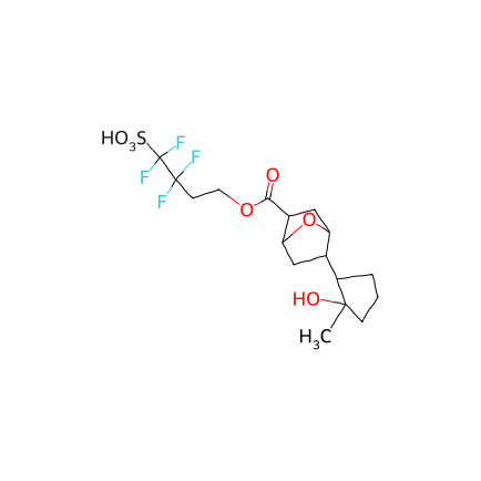 CC1(O)CCCC1C1CC2OC1CC2C(=O)OCCC(F)(F)C(F)(F)S(=O)(=O)O